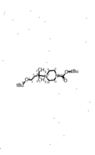 CC(C)(C)OCCC(C)(C)N1CCN(C(=O)OC(C)(C)C)CC1